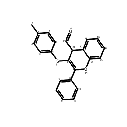 Cc1ccc(SC2=C(c3ccccc3)Oc3ccccc3C2C=O)cc1